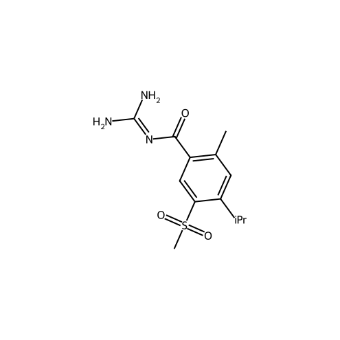 Cc1cc(C(C)C)c(S(C)(=O)=O)cc1C(=O)N=C(N)N